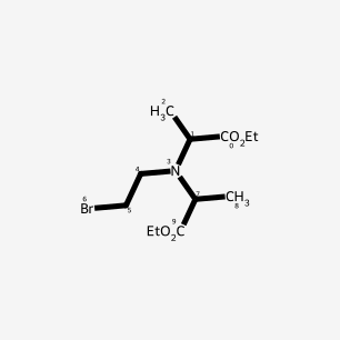 CCOC(=O)C(C)N(CCBr)C(C)C(=O)OCC